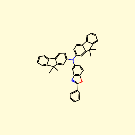 CC1(C)c2ccccc2-c2ccc(N(c3ccc4c(c3)C(C)(C)c3ccccc3-4)c3ccc4oc(-c5ccccc5)nc4c3)cc21